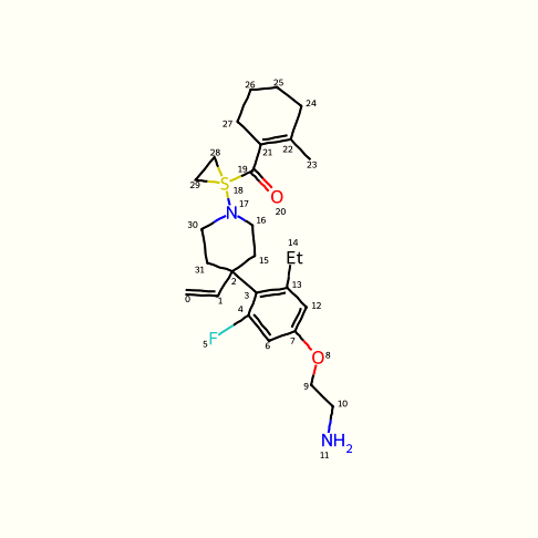 C=CC1(c2c(F)cc(OCCN)cc2CC)CCN(S2(C(=O)C3=C(C)CCCC3)CC2)CC1